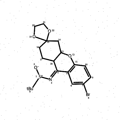 CC(C)(C)[S+]([O-])N=C1c2cc(Br)ccc2OC2CC3(CCC12)OCCO3